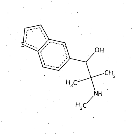 CNC(C)(C)C(O)c1ccc2sccc2c1